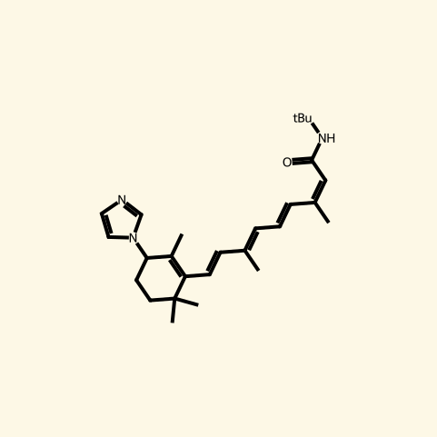 CC1=C(/C=C/C(C)=C/C=C/C(C)=C\C(=O)NC(C)(C)C)C(C)(C)CCC1n1ccnc1